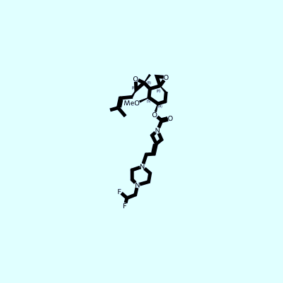 CO[C@H]1C([C@@]2(C)O[C@@H]2CC=C(C)C)[C@]2(CC[C@H]1OC(=O)N1CC(=CCN3CCN(CC(F)F)CC3)C1)CO2